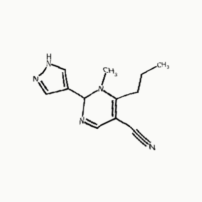 CCCC1=C(C#N)C=NC(c2cn[nH]c2)N1C